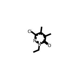 CCn1nc(Cl)c(C)c(C)c1=O